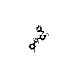 O=c1ccc(-c2nc(-c3cccc(F)c3)no2)cn1Cc1cncnc1